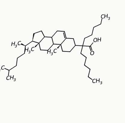 CCCCCCC(CCCCC)(C(=O)O)C1CC[C@@]2(C)C(=CCC3C2CC[C@@]2(C)C3CC[C@@H]2[C@H](C)CCCC(C)C)C1